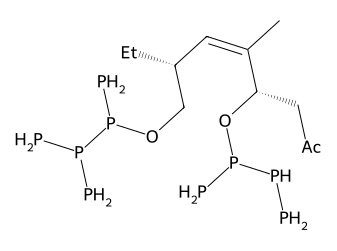 CC[C@H](/C=C(/C)[C@H](CC(C)=O)OP(P)PP)COP(P)P(P)P